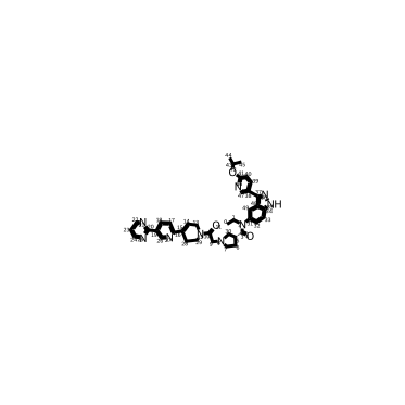 CCN(C(=O)[C@@H]1CCN(CC(=O)N2CC=C(c3ccc(-c4ncccn4)cn3)CC2)C1)c1ccc2[nH]nc(-c3ccc(OC(C)C)nc3)c2c1